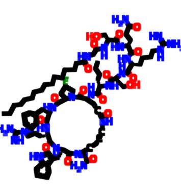 CCCCCCCCCCCCCCCC(=O)NCC(=O)N[C@@H](CO)C(=O)N[C@@H](CCC(N)=O)C(=O)N[C@@H](CCCCNC(=N)N)C(=O)N[C@@H](CO)C(=O)N[C@@H](CCCC)C(=O)N[C@H]1CCC(=O)NCCCC[C@@H](C(N)=O)NC(=O)[C@H](Cc2c[nH]c3ccccc23)NC(=O)[C@H](CCCNC(=N)N)NC(=O)[C@@H](Cc2ccccc2)NC(=O)C2CC(F)CN2C1=O